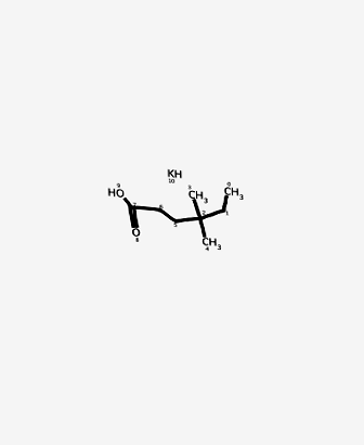 CCC(C)(C)CCC(=O)O.[KH]